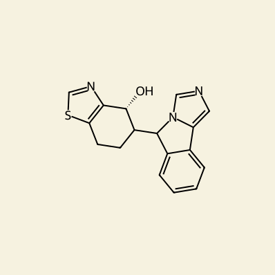 O[C@H]1c2ncsc2CCC1C1c2ccccc2-c2cncn21